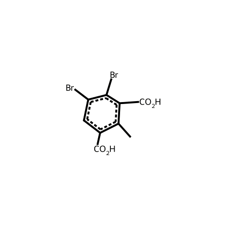 Cc1c(C(=O)O)cc(Br)c(Br)c1C(=O)O